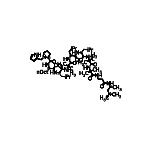 CCCCCCCC[C@H](NC(=O)[C@@H]1CCCN1Cc1ccc[nH]1)C(=O)N[C@@H](CC(C)C)C(=O)NC(C)(C)C(=O)N[C@@H](CC(C)C)C(=O)N[C@@H](CC(C)C)C(=O)NC(C)(C)C(=O)NC(C)(C)C(=O)NCCC(=O)N[C@@H](C)CN(C)C